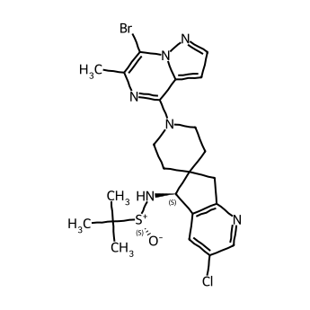 Cc1nc(N2CCC3(CC2)Cc2ncc(Cl)cc2[C@H]3N[S@+]([O-])C(C)(C)C)c2ccnn2c1Br